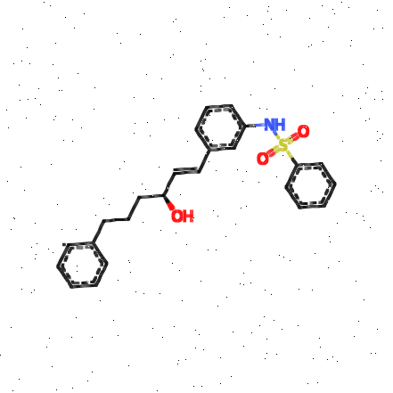 O=S(=O)(Nc1cccc(/C=C/[C@@H](O)CCCc2[c]cccc2)c1)c1ccccc1